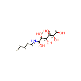 CCCCCNC(O)C(O)C(O)C(O)C(O)CO